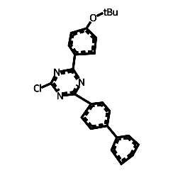 CC(C)(C)Oc1ccc(-c2nc(Cl)nc(-c3ccc(-c4ccccc4)cc3)n2)cc1